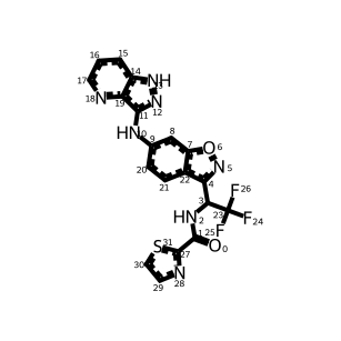 O=C(NC(c1noc2cc(Nc3n[nH]c4cccnc34)ccc12)C(F)(F)F)c1nccs1